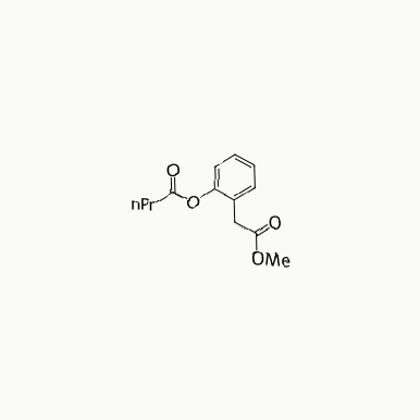 [CH2]CCC(=O)Oc1ccccc1CC(=O)OC